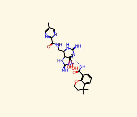 Cc1cnc(C(=O)NCC2NC(=N)N3C[C@H](NC(=O)c4cccc5c4OCCC5(C)C)C(O)(O)C34NC(=N)NC24)nc1